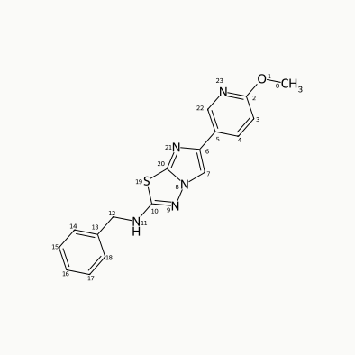 COc1ccc(-c2cn3nc(NCc4ccccc4)sc3n2)cn1